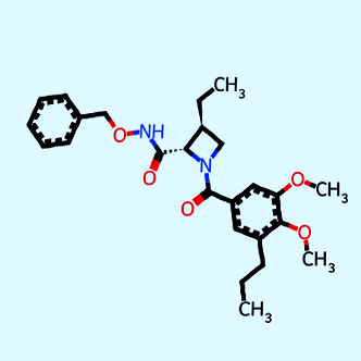 CCCc1cc(C(=O)N2C[C@H](CC)[C@H]2C(=O)NOCc2ccccc2)cc(OC)c1OC